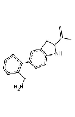 C=C(C)C1Cc2cc(-c3ccccc3CN)ccc2N1